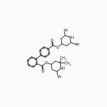 CC(C)C1CC(OC(=O)c2ccc(-c3ccccc3C(=O)OC3CC(C(C)C)NC(C)(C)C3)cc2)CC(C(C)C)N1